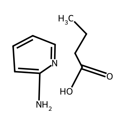 CCCC(=O)O.Nc1ccccn1